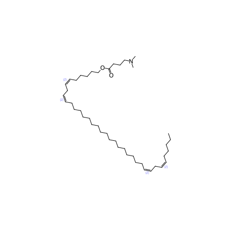 CCCCC/C=C\C/C=C\CCCCCCCCCCCCCCCCC/C=C\C/C=C\CCCCCOC(=O)CCCN(C)C